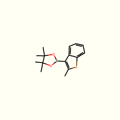 Cc1sc2ccccc2c1B1OC(C)(C)C(C)(C)O1